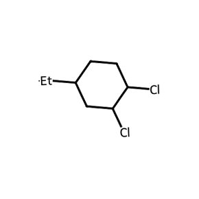 C[CH]C1CCC(Cl)C(Cl)C1